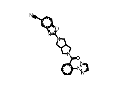 N#Cc1ccc2oc(N3CC4CN(C(=O)c5ccccc5-n5nccn5)CC4C3)nc2c1